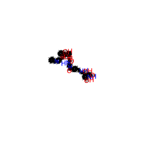 O=C(COc1cccc([C@](O)(C(=O)OCC2CCN(Cc3ccccc3)CC2)c2ccccc2)c1)NC1CN(C(=O)c2ccc(CCNC[C@H](O)c3ccc(O)c4[nH]c(=O)ccc34)cc2)C1